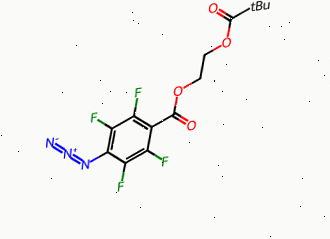 CC(C)(C)C(=O)OCCOC(=O)c1c(F)c(F)c(N=[N+]=[N-])c(F)c1F